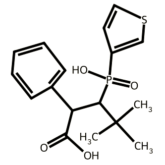 CC(C)(C)C(C(C(=O)O)c1ccccc1)P(=O)(O)c1ccsc1